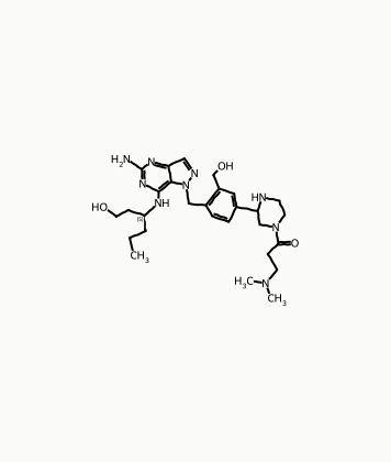 CCC[C@@H](CCO)Nc1nc(N)nc2cnn(Cc3ccc(C4CN(C(=O)CCN(C)C)CCN4)cc3CO)c12